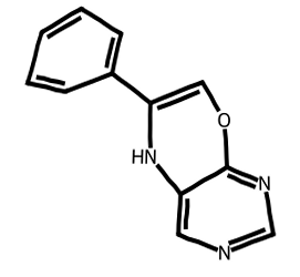 C1=C(c2ccccc2)Nc2cncnc2O1